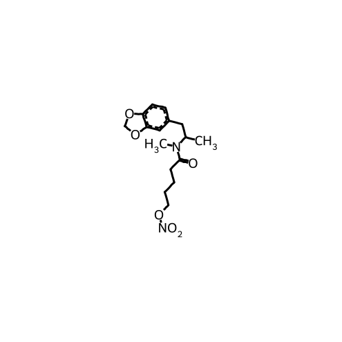 CC(Cc1ccc2c(c1)OCO2)N(C)C(=O)CCCCO[N+](=O)[O-]